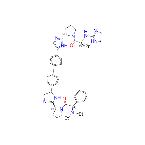 CCN(CC)[C@@H](C(=O)N1CCC[C@H]1C1=NCC(c2ccc(-c3ccc(-c4cnc([C@@H]5CCCN5C(=O)[C@@H](NC5=NCCN5)C(C)C)[nH]4)cc3)cc2)N1)c1ccccc1